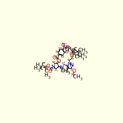 CCOc1nn(CCO[Si](C)(C)C(C)(C)C)c(CN(C)[C@H]2CN(C(=O)OC(C)(C)C)C[C@H]2OC(=O)c2ccc([N+](=O)[O-])cc2)c1I